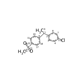 CC(c1ccc(Cl)cc1)c1ccc(S(C)(=O)=O)cc1